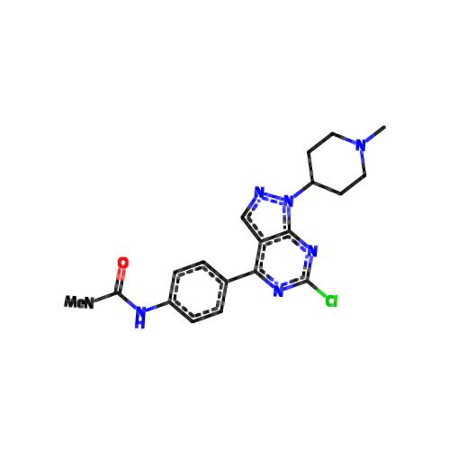 CNC(=O)Nc1ccc(-c2nc(Cl)nc3c2cnn3C2CCN(C)CC2)cc1